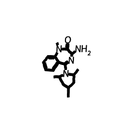 CC1CC(C)N(C2=NC(N)C(=O)N(C)c3ccccc32)C(C)C1